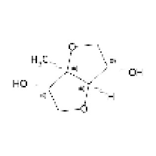 C[C@]12OC[C@H](O)[C@H]1OC[C@@H]2O